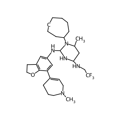 CC1CC(NCC(F)(F)F)NC(Nc2cc3c(c(C4=CCN(C)CCC4)c2)OCC3)N1C1CCCCCCC1